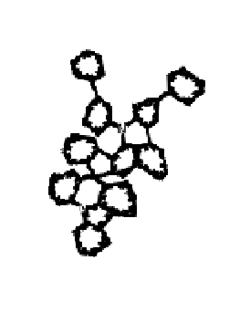 c1ccc(-c2cccc(N(c3ccc(-c4ccccc4)cc3-c3ccccc3)c3cccc4c3-c3ccccc3C43c4ccccc4-n4c5ccccc5c5cccc3c54)c2)cc1